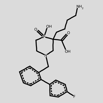 NCCCCC1(C(=O)O)CN(Cc2ccccc2-c2ccc(F)cc2)CCP1(=O)O